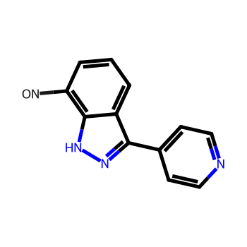 O=Nc1cccc2c(-c3ccncc3)n[nH]c12